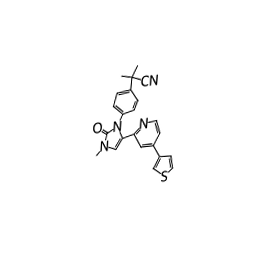 Cn1cc(-c2cc(-c3ccsc3)ccn2)n(-c2ccc(C(C)(C)C#N)cc2)c1=O